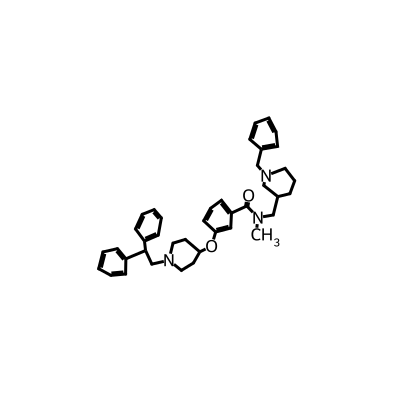 CN(CC1CCCN(Cc2ccccc2)C1)C(=O)c1cccc(OC2CCN(CC(c3ccccc3)c3ccccc3)CC2)c1